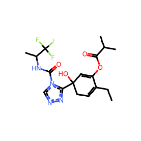 CCC1=CCC(O)(c2nncn2C(=O)NC(C)C(F)(F)F)C=C1OC(=O)C(C)C